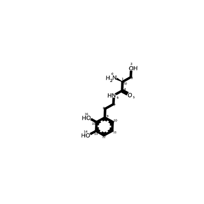 N[C@@H](CO)C(=O)NCCc1cccc(O)c1O